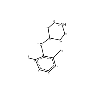 Cc1cccc(C)c1OC1CCNCC1